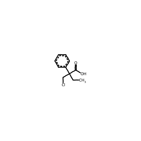 CCC(CCl)(C(=O)O)c1ccccc1